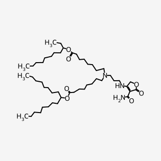 CCCCCCCCC(CC)OC(=O)CCCCCCCN(CCCCCCCC(=O)OC(CCCCCCCC)CCCCCCCC)CCCNC1=C(C(N)=O)C(=O)OC1